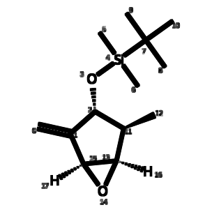 C=C1[C@H](O[Si](C)(C)C(C)(C)C)[C@@H](C)[C@H]2O[C@@H]12